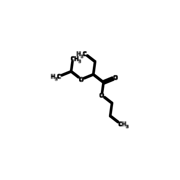 CCCOC(=O)C(CC)OC(C)C